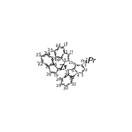 CC(C)c1ccc2c(c1)[CH]([Zr]([CH]1C=Cc3ccccc31)[CH]1C=Cc3ccccc31)c1ccccc1-2